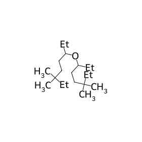 CCC(CCC(C)(C)CC)OC(CC)CCC(C)(C)CC